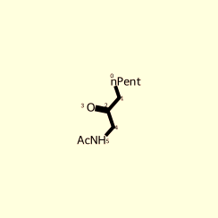 CCCCCCC(=O)CNC(C)=O